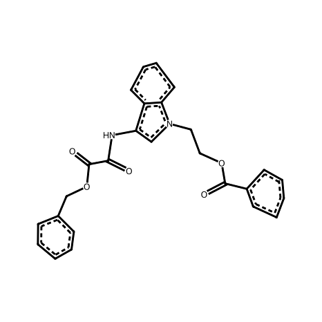 O=C(Nc1cn(CCOC(=O)c2ccccc2)c2ccccc12)C(=O)OCc1ccccc1